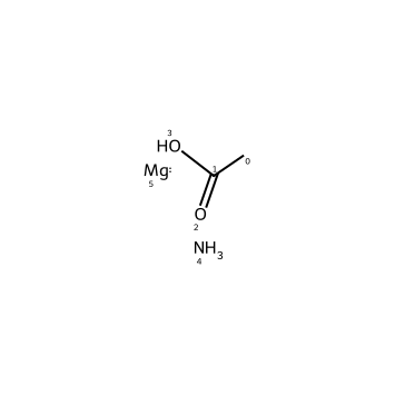 CC(=O)O.N.[Mg]